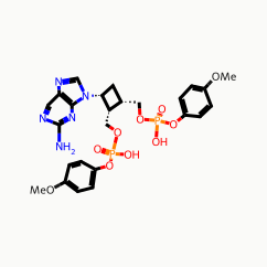 COc1ccc(OP(=O)(O)OC[C@H]2C[C@@H](n3cnc4cnc(N)nc43)[C@H]2COP(=O)(O)Oc2ccc(OC)cc2)cc1